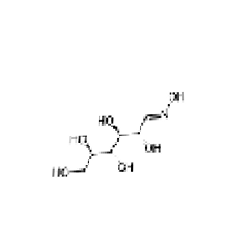 OC[C@@H](O)[C@@H](O)[C@@H](O)[C@@H](O)C=NO